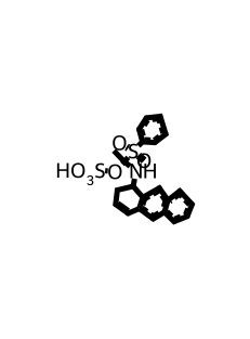 CC(NC1CC=Cc2cc3ccccc3cc21)(OS(=O)(=O)O)S(=O)(=O)c1ccccc1